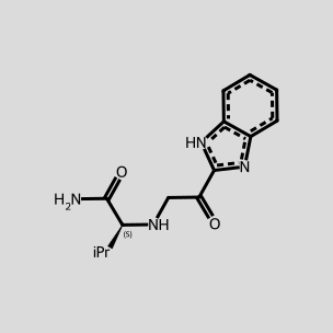 CC(C)[C@H](NCC(=O)c1nc2ccccc2[nH]1)C(N)=O